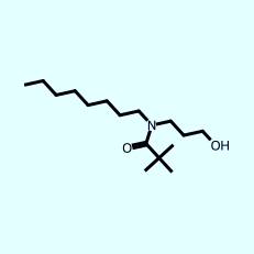 CCCCCCCCN(CCCO)C(=O)C(C)(C)C